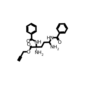 C#CCOC(=O)[C@](N)(CCC(N)NC(=O)c1ccccc1)NC(=O)c1ccccc1